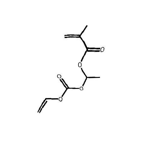 C=COC(=O)OC(C)OC(=O)C(=C)C